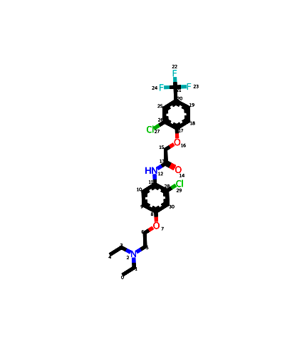 CCN(CC)CCOc1ccc(NC(=O)COc2ccc(C(F)(F)F)cc2Cl)c(Cl)c1